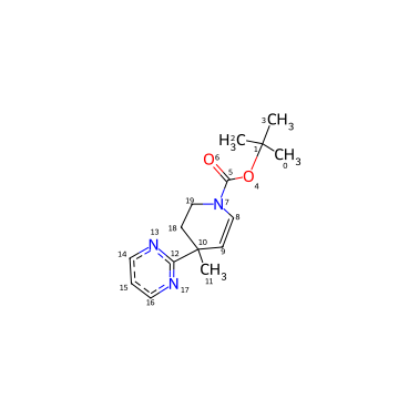 CC(C)(C)OC(=O)N1C=CC(C)(c2ncccn2)CC1